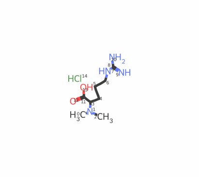 CN(C)C(CCCNC(=N)N)C(=O)O.Cl